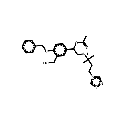 CC(=O)OC(CNC(C)(C)CCn1cnnc1)c1ccc(OCc2ccccc2)c(CO)c1